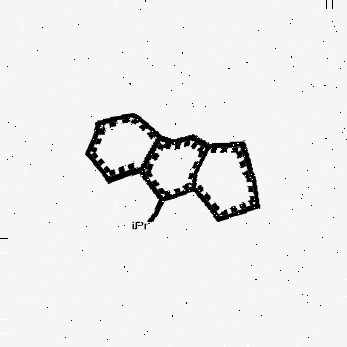 [CH2]C(C)c1c2ccccc2cc2ccccc12